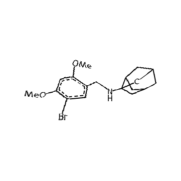 COc1cc(OC)c(CNC23CC4CC(CC2C4)C3)cc1Br